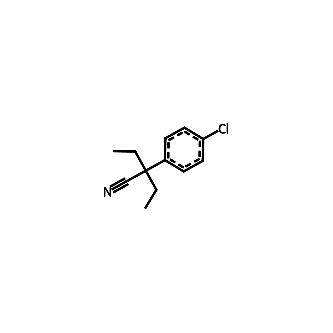 CCC(C#N)(CC)c1ccc(Cl)cc1